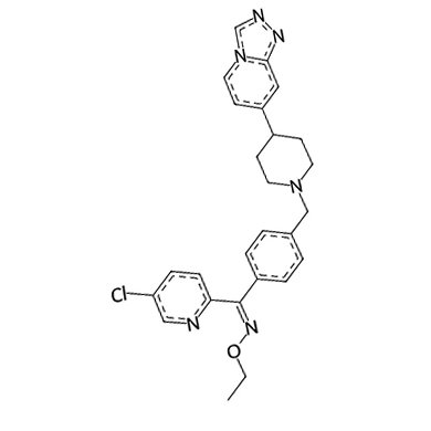 CCON=C(c1ccc(CN2CCC(c3ccn4cnnc4c3)CC2)cc1)c1ccc(Cl)cn1